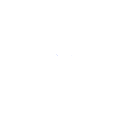 O=C(Cl)c1cc(C(F)(F)F)ncn1